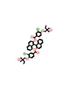 CCC1(COc2ccc(C(=O)Oc3ccc4ccccc4c3-c3c(OC(=O)c4ccc(OCC5(CC)COC5)c(Br)c4)ccc4ccccc34)cc2Br)COC1